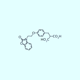 O=C(O)C(Cc1ccc(OCCn2c(=O)oc3ccccc32)cc1)C(=O)O